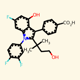 CC(C)(CCO)c1c(-c2ccc(C(=O)O)cc2)c2c(O)cc(F)cc2n1-c1ccc(F)c(F)c1